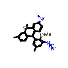 COc1c(N=[N+]=[N-])cc(C)cc1C1=C2C=CC(=[N+](C)C)C=C2[Si](C)(C)c2cc(C)ccc21